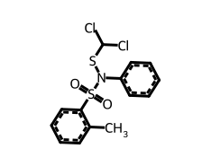 Cc1ccccc1S(=O)(=O)N(SC(Cl)Cl)c1ccccc1